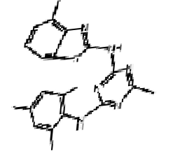 Cc1cc(C)c(Nc2nc(C)nc(Nc3nc4c(C)cccc4s3)n2)c(C)c1